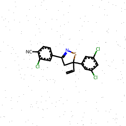 C=CC1(c2cc(Cl)cc(Cl)c2)CC(c2ccc(C#N)c(Cl)c2)=NS1